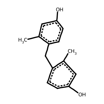 Cc1cc(O)ccc1Cc1ccc(O)cc1C